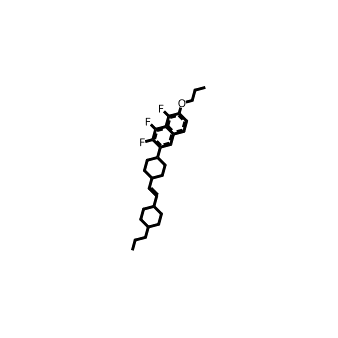 CCCOc1ccc2cc(C3CCC(/C=C/C4CCC(CCC)CC4)CC3)c(F)c(F)c2c1F